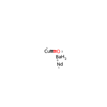 [BaH2].[Nd].[O]=[Cu]